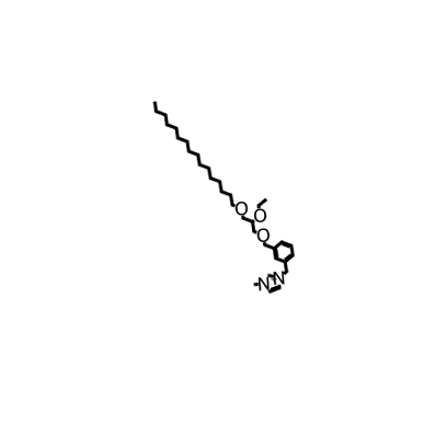 CCCCCCCCCCCCCCCCOCC(COCc1cccc(Cn2cc[n+](C)c2)c1)OCC